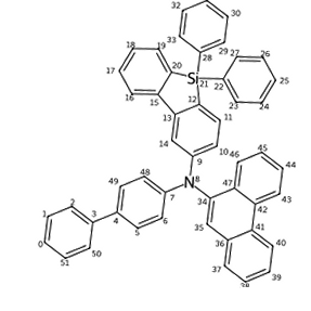 c1ccc(-c2ccc(N(c3ccc4c(c3)-c3ccccc3[Si]4(c3ccccc3)c3ccccc3)c3cc4ccccc4c4ccccc34)cc2)cc1